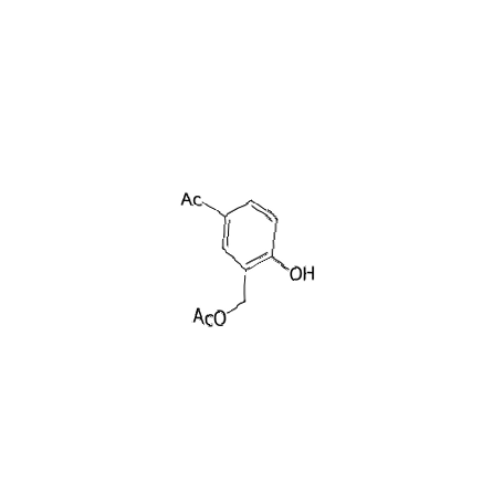 CC(=O)OCc1cc(C(C)=O)ccc1O